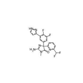 CN1C(=O)C(c2cc(F)c(F)c(-c3cc[nH]n3)c2)(c2cccc(C(F)F)n2)N=C1N